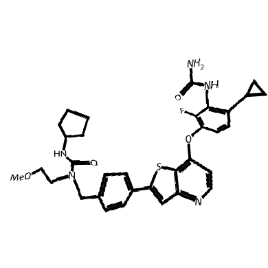 COCCN(Cc1ccc(-c2cc3nccc(Oc4ccc(C5CC5)c(NC(N)=O)c4F)c3s2)cc1)C(=O)NC1CCCC1